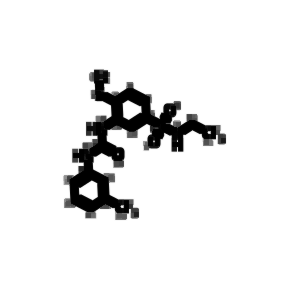 CCSc1ccc(S(=O)(=O)NCC(F)(F)F)cc1NC(=O)Nc1cccc(C(F)(F)F)c1